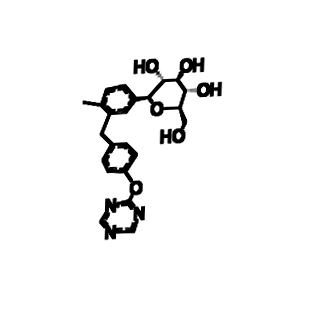 Cc1ccc([C@@H]2O[C@H](CO)[C@@H](O)[C@H](O)[C@H]2O)cc1Cc1ccc(Oc2ncncn2)cc1